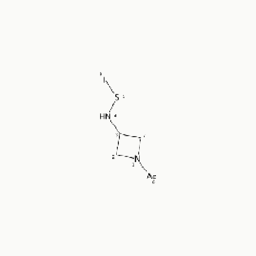 CC(=O)N1CC(NSI)C1